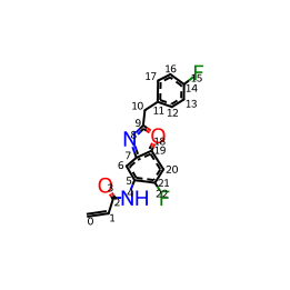 C=CC(=O)Nc1cc2nc(Cc3ccc(F)cc3)oc2cc1F